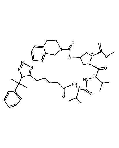 COC(=O)[C@@H]1CC(OC(=O)N2CCc3ccccc3C2)CN1C(=O)[C@@H](NC(=O)[C@@H](NC(=O)CCCCc1nnnn1C(C)(C)c1ccccc1)C(C)C)C(C)C